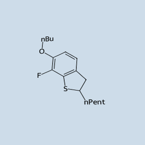 CCCCCC1Cc2ccc(OCCCC)c(F)c2S1